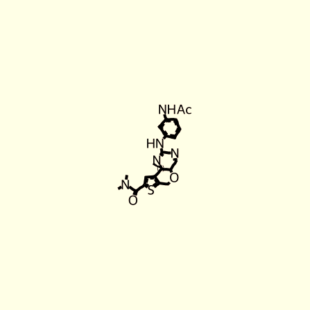 CC(=O)Nc1cccc(NC2=N[C@@]3(C)c4cc(C(=O)N(C)C)sc4COC3C=N2)c1